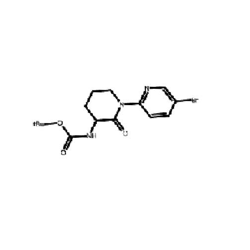 CC(C)(C)OC(=O)NC1CCCN(c2ccc(Br)cn2)C1=O